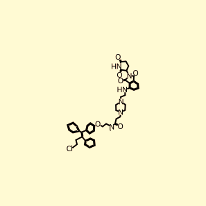 CN(CCOc1ccc(C(=C(CCCl)c2ccccc2)c2ccccc2)cc1)C(=O)CCN1CCN(CCNc2cccc3c2C(=O)N(C2CCC(=O)NC2=O)C3=O)CC1